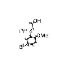 COc1ccc(Br)cc1[C@@H](CCO)C(C)C